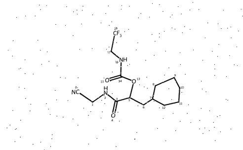 N#CCNC(=O)C(CC1CCCCC1)OC(=O)NCC(F)(F)F